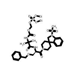 CCOP(=O)(OCC)OCOC(=O)NC(C)(C)C(=O)N[C@H](COCc1ccccc1)C(=O)N1CCC2(CC1)CN(S(C)(=O)=O)c1ccccc12